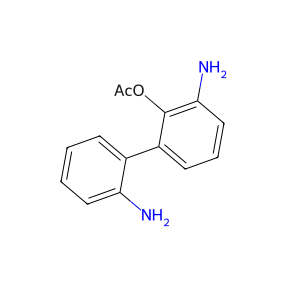 CC(=O)Oc1c(N)cccc1-c1ccccc1N